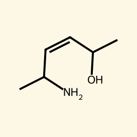 CC(N)/C=C\C(C)O